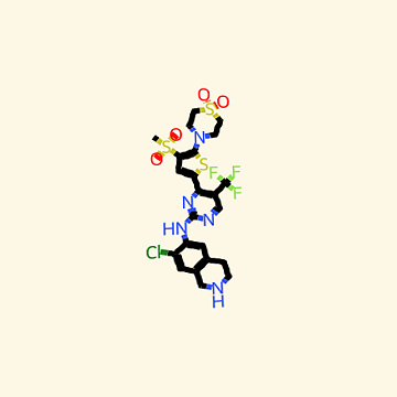 CS(=O)(=O)c1cc(-c2nc(Nc3cc4c(cc3Cl)CNCC4)ncc2C(F)(F)F)sc1N1CCS(=O)(=O)CC1